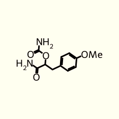 COc1ccc(CC(OC(N)=O)C(N)=O)cc1